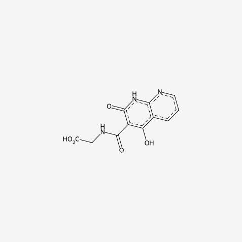 O=C(O)CNC(=O)c1c(O)c2cccnc2[nH]c1=O